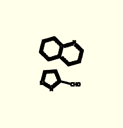 O=Cc1ccsn1.c1ccc2ncccc2c1